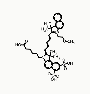 COCC[N+]1=C(/C=C/C=C/C=C2/N(CCCCCC(=O)O)c3ccc4c(S(=O)(=O)O)cc(S(=O)(=O)O)cc4c3C2(C)C)C(C)(C)c2c1ccc1ccccc21